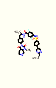 COCc1ncc(-c2ccc(S(=O)(=O)Nc3cc(F)c(C(=O)NC(Cc4ccc(-n5c(=O)c6ccncc6n(C)c5=O)cc4)C(=O)O)cc3F)cc2)cn1